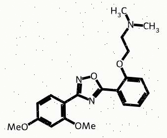 COc1ccc(-c2noc(-c3ccccc3OCCN(C)C)n2)c(OC)c1